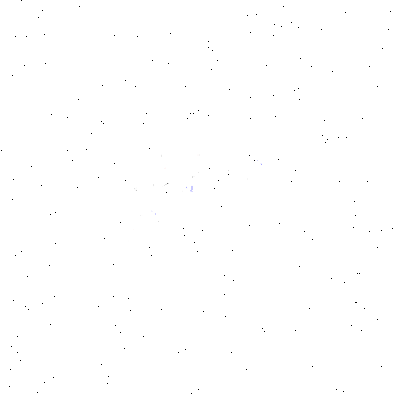 NCCCC(=O)NC(=O)[C@@H]1CCC(=O)N1